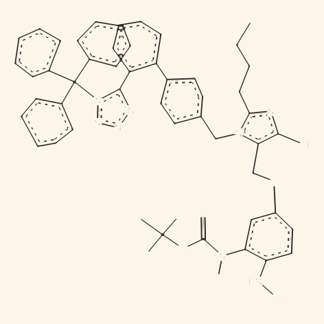 CCCCc1nc(Cl)c(CSc2ccc(NO)c(N(C)C(=O)OC(C)(C)C)c2)n1Cc1ccc(-c2ccccc2-c2nnnn2C(c2ccccc2)(c2ccccc2)c2ccccc2)cc1